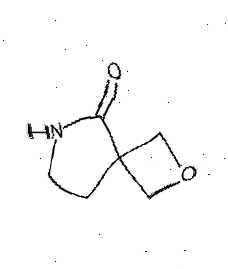 O=C1NCCC12COC2